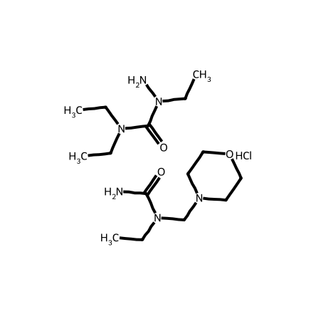 CCN(CN1CCOCC1)C(N)=O.CCN(N)C(=O)N(CC)CC.Cl